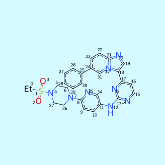 CCS(=O)(=O)N1CCN(c2ccc(Nc3nccc(-c4cnc5ccc(-c6ccccc6)cn45)n3)cn2)CC1